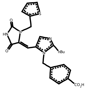 CCCCc1ncc(C=C2C(=O)NC(=O)N2Cc2cccs2)n1Cc1ccc(C(=O)O)cc1